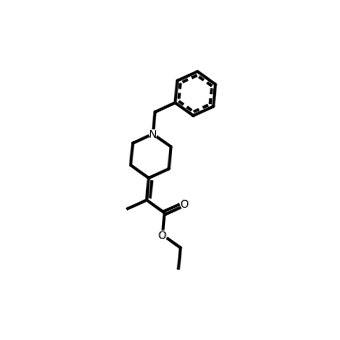 CCOC(=O)C(C)=C1CCN(Cc2ccccc2)CC1